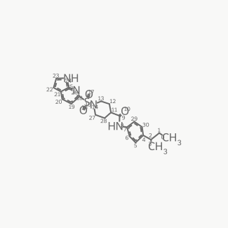 CCC(C)c1ccc(NC(=O)C2CCN(S(=O)(=O)c3ccc4cc[nH]c4n3)CC2)cc1